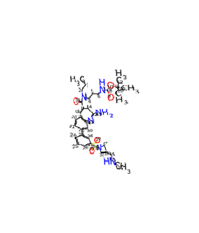 CCCN(CCCNC(=O)OC(C)(C)C)C(=O)C1=Cc2ccc(-c3cccc(S(=O)(=O)N4CC(CNC)C4)c3)cc2N=C(N)C1